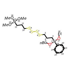 CCCCO[Si](CCCSSSSCCC[Si](OC)(OC)OC)(OCC)c1ccccc1